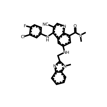 CN(C)C(=O)c1cc(NCc2nc3ccccc3n2C)cc2c(Nc3ccc(F)c(Cl)c3)c(C#N)cnc12